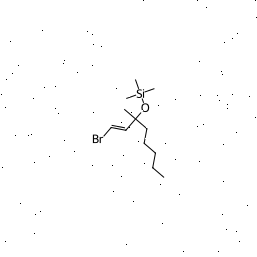 CCCCCC(C)(C=CBr)O[Si](C)(C)C